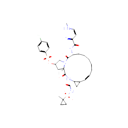 CN/C=C\C(=N)C(=O)N[C@H]1CCCCC/C=C\C2C[C@@]2(C(=O)NS(=O)(=O)C2(C)CC2)NC(=O)[C@@H]2CC(OS(=O)(=O)c3ccc(Br)cc3)CN2C1=O